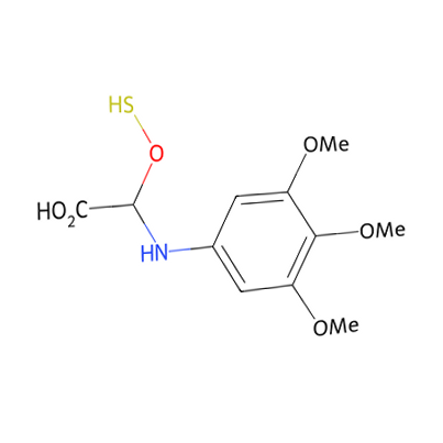 COc1cc(NC(OS)C(=O)O)cc(OC)c1OC